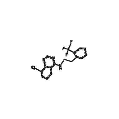 FC(F)(F)c1ccccc1CCNc1ncnc2c(Cl)cccc12